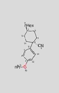 CCCCCC[C@H]1CC[C@@](C#N)(c2ccc(OCCC)cc2)CC1